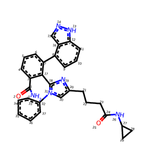 NC(=O)c1cccc(-c2cccc3[nH]ncc23)c1-c1nc(CCCC(=O)NC2CC2)cn1-c1ccccc1